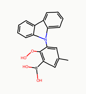 Cc1cc(B(O)O)c(OO)c(-n2c3ccccc3c3ccccc32)c1